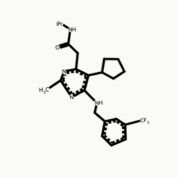 Cc1nc(CC(=O)NC(C)C)c(C2CCCC2)c(NCc2cccc(C(F)(F)F)c2)n1